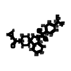 O=C(C1CC1)N1CCC2(CC1)CN(S(=O)(=O)c1ccc(C(F)F)cc1)c1ccccc12